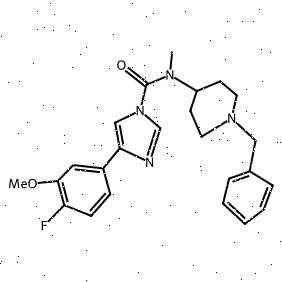 COc1cc(-c2cn(C(=O)N(C)C3CCN(Cc4ccccc4)CC3)cn2)ccc1F